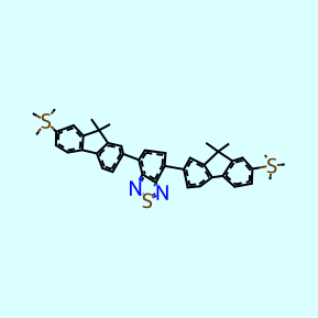 CC1(C)c2cc(-c3ccc(-c4ccc5c(c4)C(C)(C)c4cc(S(C)(C)C)ccc4-5)c4nsnc34)ccc2-c2ccc(S(C)(C)C)cc21